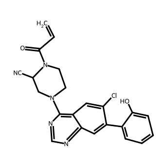 C=CC(=O)N1CCN(c2ncnc3cc(-c4ccccc4O)c(Cl)cc23)CC1C#N